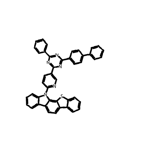 c1ccc(-c2ccc(-c3nc(-c4ccccc4)nc(-c4ccc(-n5c6ccccc6c6ccc7c8ccccc8sc7c65)nc4)n3)cc2)cc1